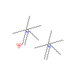 CCCCCCCCCCc1c(CCCCCCCCCC)c(CCCCCCCCCC)[n+](CCCCCCCCCC)c(CCCCCCCCCC)c1CCCCCCCCCC.CCCCCCCCCCc1c(CCCCCCCCCC)c(CCCCCCCCCC)[n+](CCCCCCCCCC)c(CCCCCCCCCC)c1CCCCCCCCCC.O=C([O-])[O-]